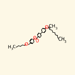 CCCCCCCC[C@@H](C)Oc1ccc(-c2ccc(C(=O)Oc3ccc(COCCCCCC)cc3)cc2)cc1